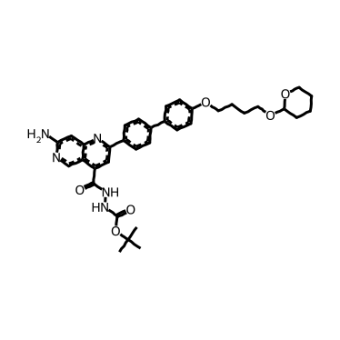 CC(C)(C)OC(=O)NNC(=O)c1cc(-c2ccc(-c3ccc(OCCCCOC4CCCCO4)cc3)cc2)nc2cc(N)ncc12